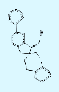 [C-]#[N+]/N=C1\c2cc(-c3cccnn3)ccc2CC12CCc1ccccc1CC2